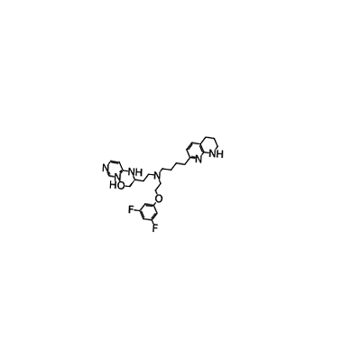 OC[C@H](CCN(CCCCc1ccc2c(n1)NCCC2)CCOc1cc(F)cc(F)c1)Nc1ccncn1